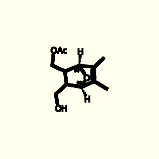 CC(=O)OCC1C(CO)[C@H]2O[C@@H]1C(C)=C2C